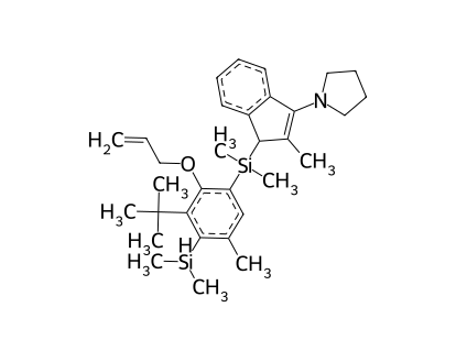 C=CCOc1c([Si](C)(C)C2C(C)=C(N3CCCC3)c3ccccc32)cc(C)c([SiH](C)C)c1C(C)(C)C